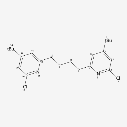 CC(C)(C)c1cc(Cl)nc(CCCCc2cc(C(C)(C)C)cc(Cl)n2)c1